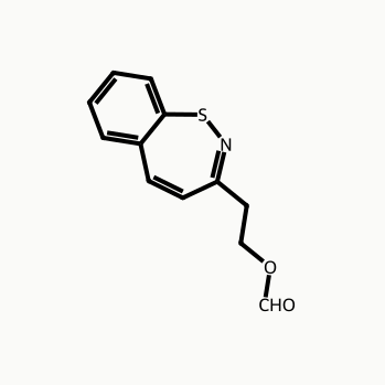 O=COCCC1=NSc2ccccc2C=C1